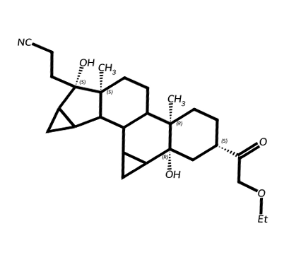 CCOCC(=O)[C@H]1CC[C@]2(C)C3CC[C@@]4(C)C(C5CC5[C@@]4(O)CCC#N)C3C3CC3[C@]2(O)C1